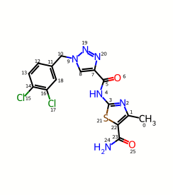 Cc1nc(NC(=O)c2cn(Cc3ccc(Cl)c(Cl)c3)nn2)sc1C(N)=O